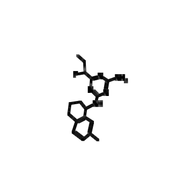 CCC(F)c1nc(N)nc(NC2CCCc3ccc(C)cc32)n1